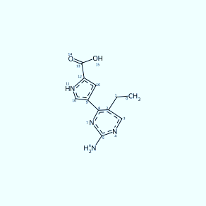 CCc1cnc(N)nc1-c1c[nH]c(C(=O)O)c1